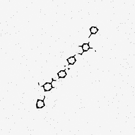 COc1cc(C(=O)Nc2ccc(S(=O)(=O)c3ccc(NC(=O)c4cc(OC)c(OCc5ccccc5)cc4N)cc3)cc2)c(N)cc1OCc1ccccc1